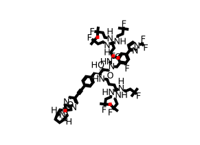 CC(C)(F)CCNC(CCC(=O)N[C@@H](Cc1ccc(C#Cc2cnc(N3C[C@@H]4CC[C@@H](C3)N4C3COC3)nc2)cc1)[C@@H](O)CN(Cc1c(F)cc(-c2ccn(C(F)F)n2)cc1F)NC(=O)CCC(NCCC(C)(C)F)(NCCC(C)(C)F)NCCC(C)(C)F)(NCCC(C)(C)F)NCCC(C)(C)F